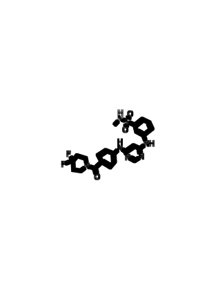 CNS(=O)(=O)c1cccc(Nc2cc(Nc3ccc(C(=O)N4CCC(F)(F)CC4)cc3)ncn2)c1